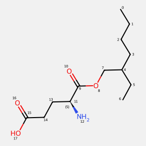 CCCCC(CC)COC(=O)[C@@H](N)CCC(=O)O